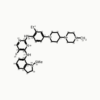 CCc1cc(N2CCC(N3CCN(C)CC3)CC2)ccc1Nc1ncc(F)c(Nc2cccc3c2N(SC)CC3)n1